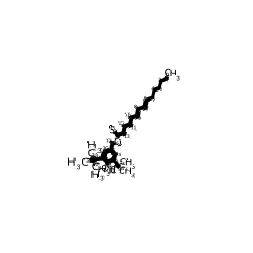 CCCCCCCCCCCCCCC(=S)OCc1cc(C(C)(C)C)c(O)c(C(C)(C)C)c1